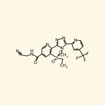 CCS(=O)(=O)c1cc(C(=O)NCC#N)cnc1-c1nnc(-c2cc(C(F)(F)F)ccn2)n1C